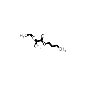 CC=C=C(C)C(=O)OCCCC